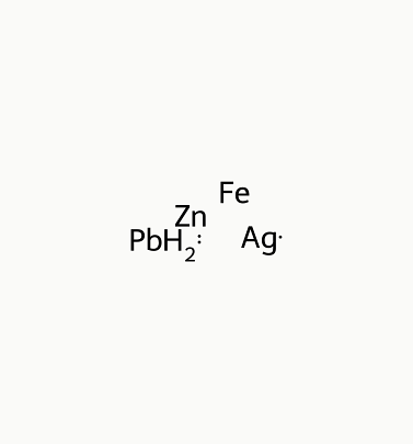 [Ag].[Fe].[PbH2].[Zn]